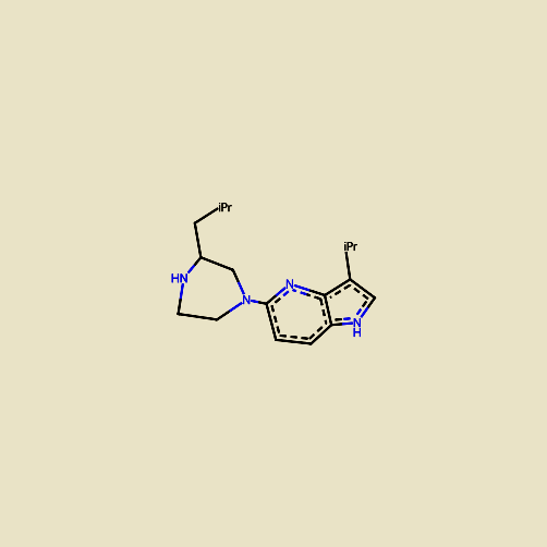 CC(C)CC1CN(c2ccc3[nH]cc(C(C)C)c3n2)CCN1